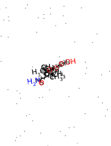 CC(C)(C)c1cc(CCC(N)=O)cc(C(C)(C)C)c1OCCOCCOCCO